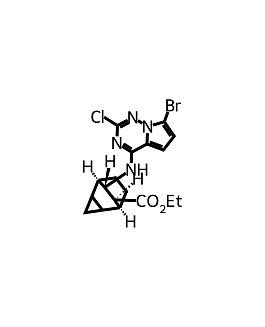 CCOC(=O)[C@@H]1[C@@H](Nc2nc(Cl)nn3c(Br)ccc23)[C@@H]2CC[C@H]1C1CC12